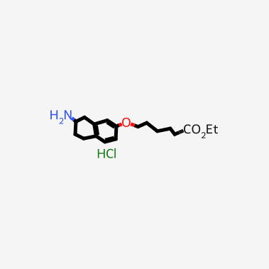 CCOC(=O)CCCCCOc1ccc2c(c1)CC(N)CC2.Cl